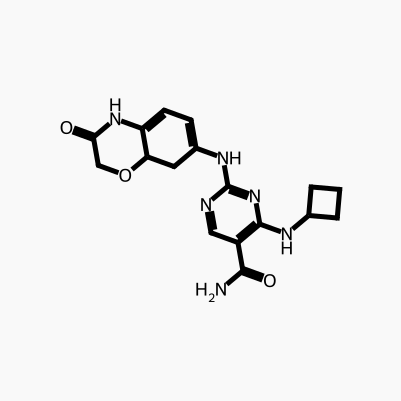 NC(=O)c1cnc(NC2=CC=C3NC(=O)COC3C2)nc1NC1CCC1